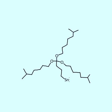 CC(C)CCCCCOC(CC[CH2][Sn])(OCCCCCC(C)C)OCCCCCC(C)C